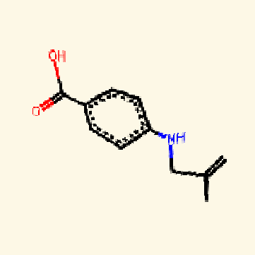 C=C(C)CNc1ccc(C(=O)O)cc1